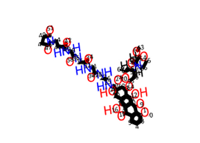 COc1cccc2c1C(=O)c1c(O)c3c(c(O)c1C2=O)C[C@@](O)(C(=O)NCCNC(=O)CNC(=O)CNC(=O)CNC(=O)CCN1C(=O)CCC1=O)C[C@@H]3O[C@H]1C[C@H]2[C@H](O[C@@H]3[C@@H](OC)OCCN32)[C@H](C)O1